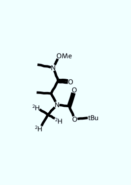 [2H]C([2H])([2H])N(C(=O)OC(C)(C)C)C(C)C(=O)N(C)OC